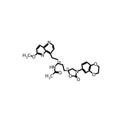 COc1ccc2nccc(CC[C@H](CC[C@H]3CN(c4ccc5c(c4)OCCO5)C(=O)O3)NC(C)=O)c2n1